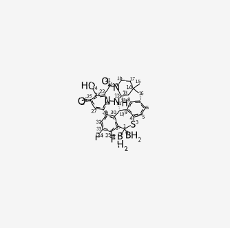 BC1(B)Sc2ccccc2[C@@H](N2[C@@H]3CC(C)(C)CCN3C(=O)c3c(O)c(=O)ccn32)c2ccc(F)c(F)c21